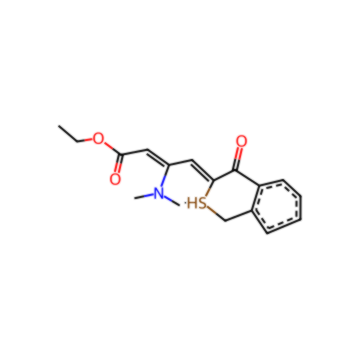 CCOC(=O)C=C(C=C1[SH]Cc2ccccc2C1=O)N(C)C